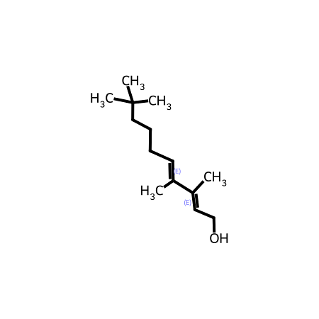 CC(=C\CO)/C(C)=C/CCCC(C)(C)C